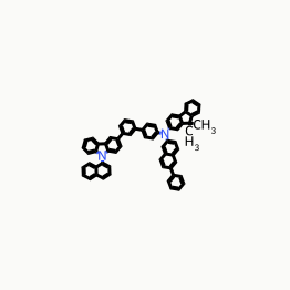 CC1(C)c2ccccc2-c2ccc(N(c3ccc(-c4cccc(-c5ccc6c(c5)c5ccccc5n6-c5cccc6ccccc56)c4)cc3)c3ccc4cc(-c5ccccc5)ccc4c3)cc21